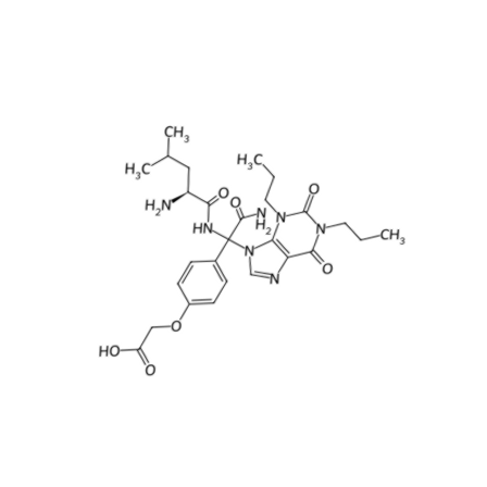 CCCn1c(=O)c2ncn(C(NC(=O)[C@@H](N)CC(C)C)(C(N)=O)c3ccc(OCC(=O)O)cc3)c2n(CCC)c1=O